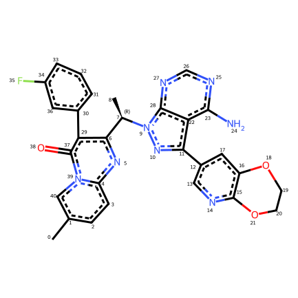 Cc1ccc2nc([C@@H](C)n3nc(-c4cnc5c(c4)OCCO5)c4c(N)ncnc43)c(-c3cccc(F)c3)c(=O)n2c1